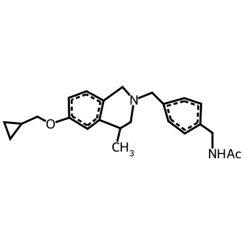 CC(=O)NCc1ccc(CN2Cc3ccc(OCC4CC4)cc3C(C)C2)cc1